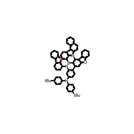 CC(C)(C)c1ccc(N(c2ccc(C(C)(C)C)cc2)c2ccc3c(c2)N(c2cccc4c2oc2ccccc24)B2c4c-3cc3oc5ccccc5c3c4-n3c4ccc5ccccc5c4c4cccc2c43)cc1